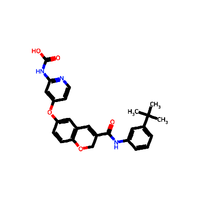 CC(C)(C)c1cccc(NC(=O)C2=Cc3cc(Oc4ccnc(NC(=O)O)c4)ccc3OC2)c1